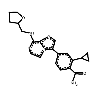 NC(=O)c1ccc(-c2cnc3c(NCC4CCCO4)nccn23)cc1C1CC1